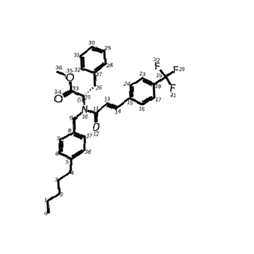 CCCCCc1ccc(CN(C(=O)C=Cc2ccc(C(F)(F)F)cc2)[C@@H](Cc2ccccc2)C(=O)OC)cc1